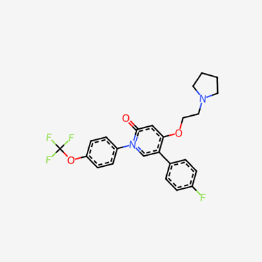 O=c1cc(OCCN2CCCC2)c(-c2ccc(F)cc2)cn1-c1ccc(OC(F)(F)F)cc1